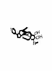 CC1=C2C=C3[C@@H](O)[C@H](O)[C@@H](N(C)C)C[C@]34CC[C@]2(O4)C2CC=C(c3ccncc3)[C@@]2(C)C1